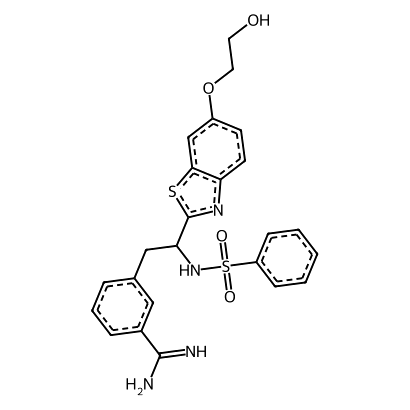 N=C(N)c1cccc(CC(NS(=O)(=O)c2ccccc2)c2nc3ccc(OCCO)cc3s2)c1